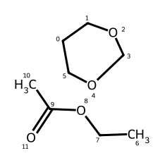 C1COCOC1.CCOC(C)=O